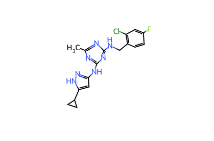 Cc1nc(NCc2ccc(F)cc2Cl)nc(Nc2cc(C3CC3)[nH]n2)n1